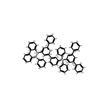 c1ccc(B2c3ccccc3-c3ccccc3N2c2cc(-c3ccccc3)nc(-c3cccc([Si](c4ccccc4)(c4ccccc4)c4cc(-c5ccccc5)cc(-c5ccccc5)c4)c3)c2)cc1